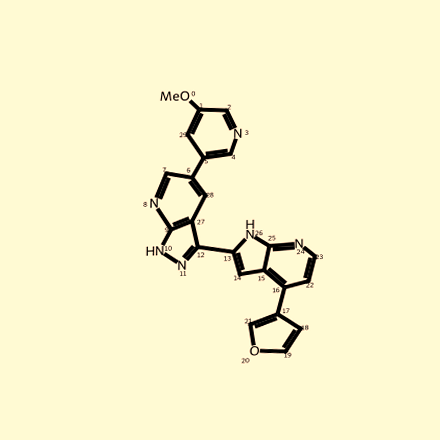 COc1cncc(-c2cnc3[nH]nc(-c4cc5c(-c6ccoc6)ccnc5[nH]4)c3c2)c1